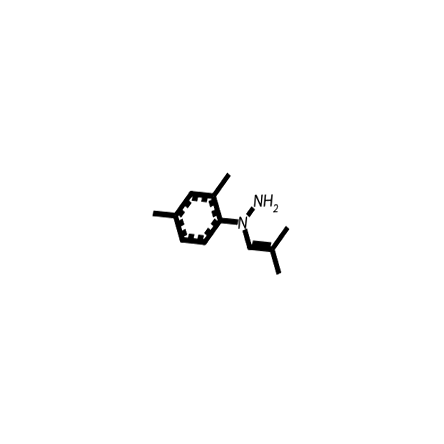 CC(C)=CN(N)c1ccc(C)cc1C